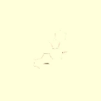 NC(=O)c1c(-c2cc(F)c3cn[nH]c3c2)nn2c1CNCC2